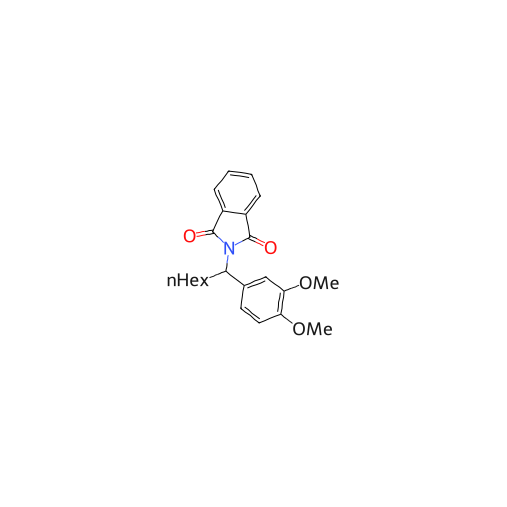 CCCCCCC(c1ccc(OC)c(OC)c1)N1C(=O)c2ccccc2C1=O